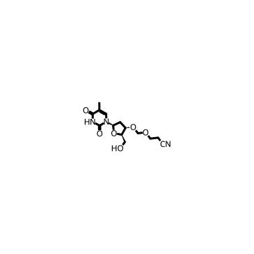 Cc1cn([C@H]2C[C@H](OCOCCC#N)[C@@H](CO)O2)c(=O)[nH]c1=O